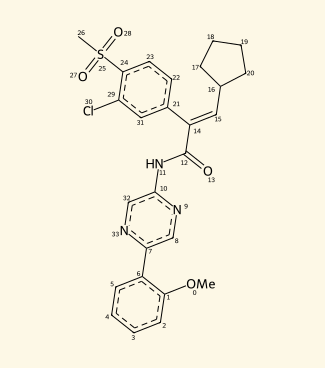 COc1ccccc1-c1cnc(NC(=O)/C(=C/C2CCCC2)c2ccc(S(C)(=O)=O)c(Cl)c2)cn1